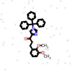 COc1cccc(CCC(=O)c2cn(C(c3ccccc3)(c3ccccc3)c3ccccc3)cn2)c1OC